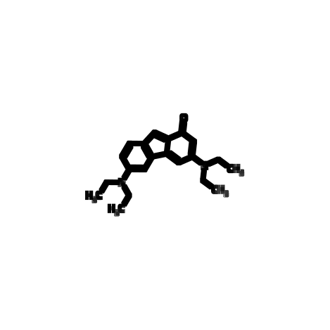 CCN(CC)C1=CC(=O)C2=Cc3ccc(N(CC)CC)cc3C2=C1